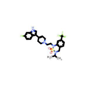 CC(C)N1Cc2ccc(C(F)(F)F)cc2N(CCN2CC=C(c3c[nH]c4cc(F)ccc34)CC2)S1(=O)=O